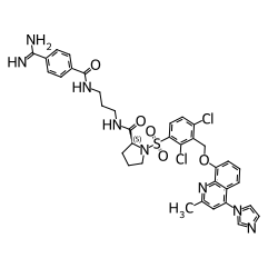 Cc1cc(-n2ccnc2)c2cccc(OCc3c(Cl)ccc(S(=O)(=O)N4CCC[C@H]4C(=O)NCCCNC(=O)c4ccc(C(=N)N)cc4)c3Cl)c2n1